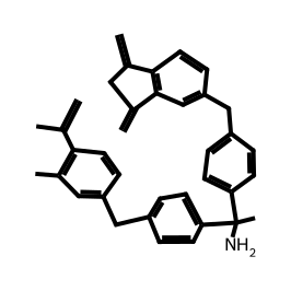 C=C(C)c1ccc(Cc2ccc(C(C)(N)c3ccc(Cc4ccc5c(c4)C(=C)CC5=C)cc3)cc2)cc1C